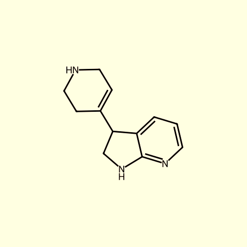 C1=C(C2CNc3ncccc32)CCNC1